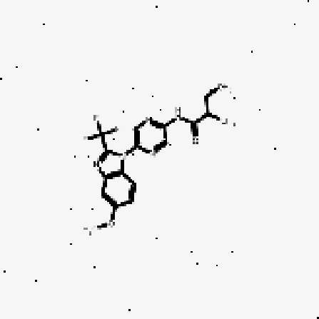 CCC(C)C(=O)Nc1cnc(-n2c(C(F)(F)F)nc3cc(OC)ccc32)cn1